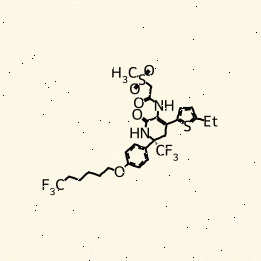 CCc1ccc(C2=C(NC(=O)CS(C)(=O)=O)C(=O)N[C@@](c3ccc(OCCCCCC(F)(F)F)cc3)(C(F)(F)F)C2)s1